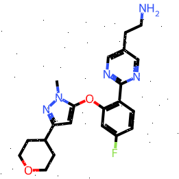 Cn1nc(C2CCOCC2)cc1Oc1cc(F)ccc1-c1ncc(CCN)cn1